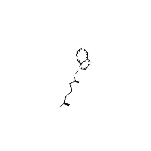 O=C(O)CCCC(=O)Nn1cnc2cncnc21